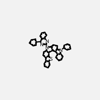 c1ccc(-c2nc(-n3c4ccc5c6ccccc6sc5c4c4c5c6ccccc6n(-c6ccccc6)c5ccc43)nc3ccccc23)cc1